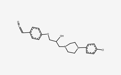 O=C=Cc1ccc(OCC(O)CN2CCN(c3ccc(Cl)cc3)CC2)cc1